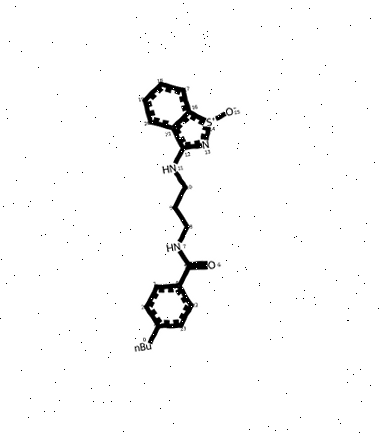 CCCCc1ccc(C(=O)NCCCNc2n[s+]([O-])c3ccccc23)cc1